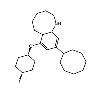 I[C@H]1CC[C@@H](OC2=CC(C3CCCCCCC3)=CC3NCCCCCC23)CC1